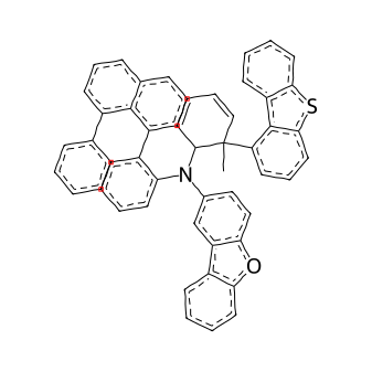 CC1(c2cccc3sc4ccccc4c23)C=CC=CC1N(c1ccc2oc3ccccc3c2c1)c1ccccc1-c1cccc2cccc(-c3ccccc3)c12